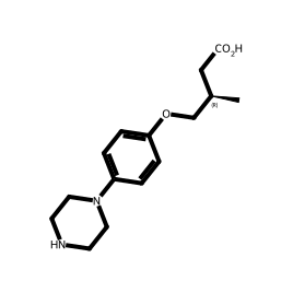 C[C@@H](COc1ccc(N2CCNCC2)cc1)CC(=O)O